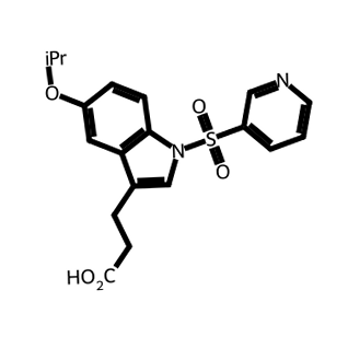 CC(C)Oc1ccc2c(c1)c(CCC(=O)O)cn2S(=O)(=O)c1cccnc1